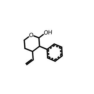 C=CC1CCOC(O)C1c1ccccc1